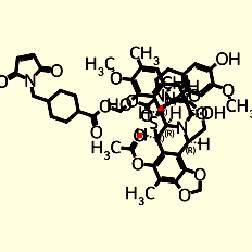 COc1cc2c(cc1O)CCN(C(=O)OCOC(=O)C1CCC(CN3C(=O)C=CC3=O)CC1)[C@]21CS[C@@H]2c3c(OC(C)=O)c(C)c4c(c3[C@H](COC1=O)N1[C@@H]2[C@H]2c3c(cc(C)c(OC)c3O)C[C@@H]([C@@H]1O)N2C)OCO4